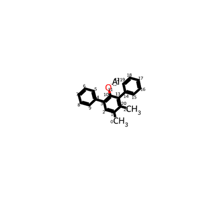 Cc1cc(-c2ccccc2)c([O][Al])c(-c2ccccc2)c1C